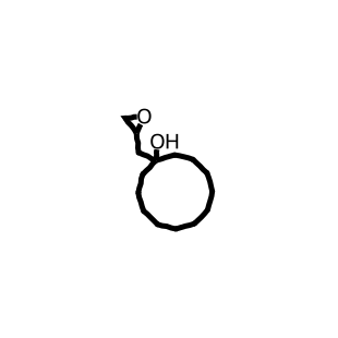 OC1(CC2CO2)CCCCCCCCCCC1